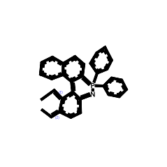 C/C=c1/ccc2c(/c1=C/C)=c1c(ccc3ccccc13)=P(c1ccccc1)(c1ccccc1)N=2